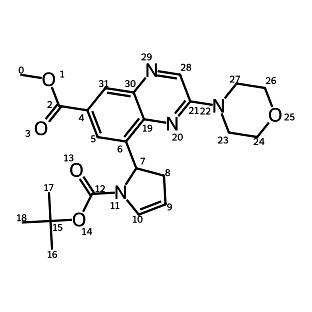 COC(=O)c1cc(C2CC=CN2C(=O)OC(C)(C)C)c2nc(N3CCOCC3)cnc2c1